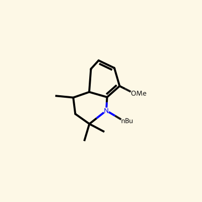 CCCCN1C2=C(OC)C=CCC2C(C)CC1(C)C